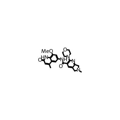 COc1cc(NC(=O)c2cc3c(nc2N2CCOCC2)CN(C)C3)cc2c(C)cc(=O)[nH]c12